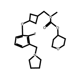 CN(CC1CC(Oc2cccc(CN3CCCC3)c2F)C1)C(=O)OC1CCOCC1